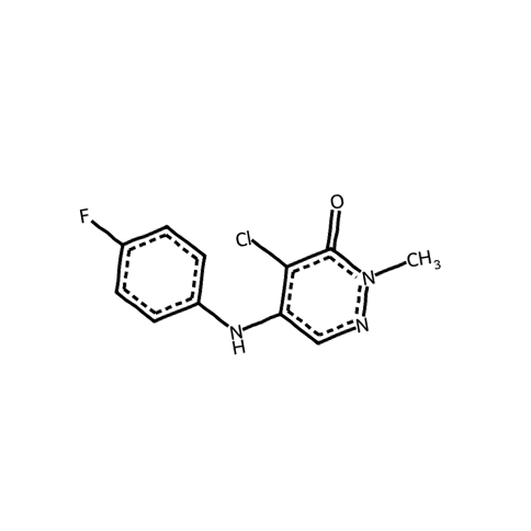 Cn1ncc(Nc2ccc(F)cc2)c(Cl)c1=O